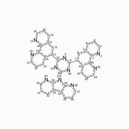 c1cnc2c(c1)cc(-c1nc(-c3cc4cccnc4c4ncccc34)nc(-n3c4ncccc4c4cccnc43)n1)c1cccnc12